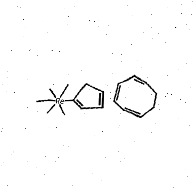 C1=C\C=C/CC\C=C/1.[CH3][Re]([CH3])([CH3])([CH3])([CH3])[C]1=CC=CC1